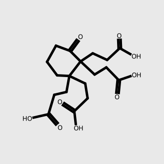 O=C(O)CCC1(CCC(=O)O)CCCC(=O)C1(CCC(=O)O)CCC(=O)O